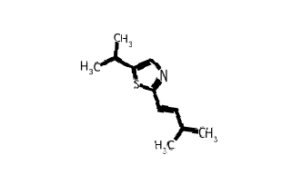 CC(C)/C=C/c1ncc(C(C)C)s1